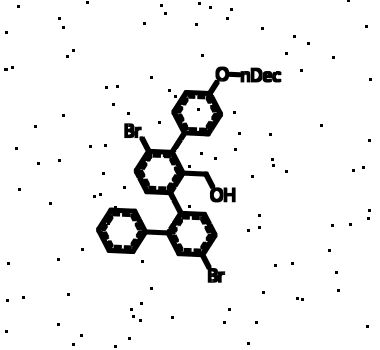 CCCCCCCCCCOc1ccc(-c2c(Br)ccc(-c3ccc(Br)cc3-c3ccccc3)c2CO)cc1